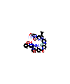 Cc1cc(C(=O)N2CC[C@H](CN3CCC(n4cc(C5CC5)c5cc(N6CCC(=O)NC6=O)cnc54)CC3)C(F)(F)C2)ccc1[C@@H]1CN(c2cc(-c3ccccc3O)nnc2N)CCO1